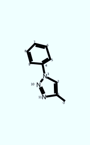 Cc1cn(-c2ccccc2)nn1